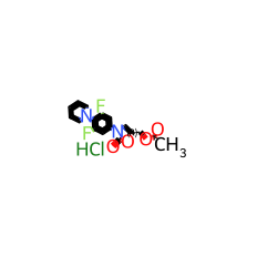 CC(=O)OC[C@H]1CN(c2cc(F)c(N3CC=CCC3)c(F)c2)C(=O)O1.Cl